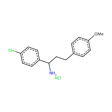 COc1ccc(CCC(N)c2ccc(Cl)cc2)cc1.Cl